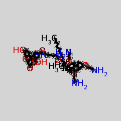 CCCCCCCCN(CCCC(C)C1CC[C@H]2C3[C@H](OCCCN)CC4C[C@H](OCCCN)CC[C@]4(C)[C@H]3C[C@H](OCCCN)[C@]12C)C(=O)CCCCCNC(=O)c1ccc(-c2c3ccc(=O)cc-3oc3cc(O)ccc23)c(C(=O)O)c1